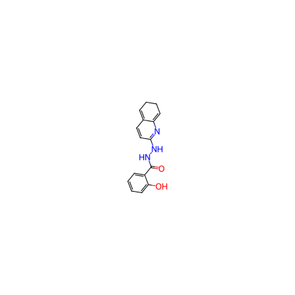 O=C(NNc1ccc2c(n1)=CCCC=2)c1ccccc1O